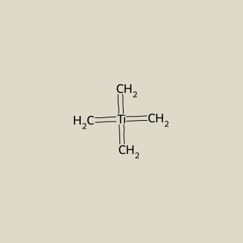 [CH2]=[Ti](=[CH2])(=[CH2])=[CH2]